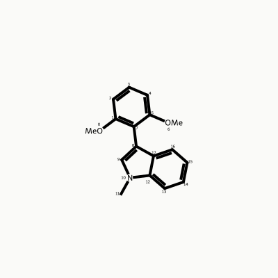 COc1cccc(OC)c1-c1cn(C)c2ccccc12